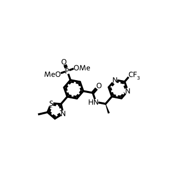 COP(=O)(OC)c1cc(C(=O)N[C@H](C)c2cnc(C(F)(F)F)nc2)cc(-c2ncc(C)s2)c1